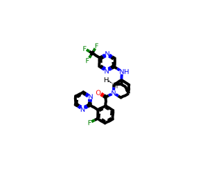 O=C(c1cccc(F)c1-c1ncccn1)N1CC2CC[C@H]1C(Nc1cnc(C(F)(F)F)cn1)C2